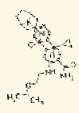 CC(C)OCCNc1cc(C(=O)NC2CC3CCC(C2)N3c2ccc(C(=O)C3CC3)cn2)ccc1C(N)=O